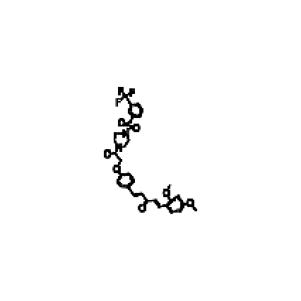 COc1ccc(C=CC(=O)C=Cc2ccc(OCC(=O)N3CCN(S(=O)(=O)c4cccc(C(F)(F)F)c4)CC3)cc2)c(OC)c1